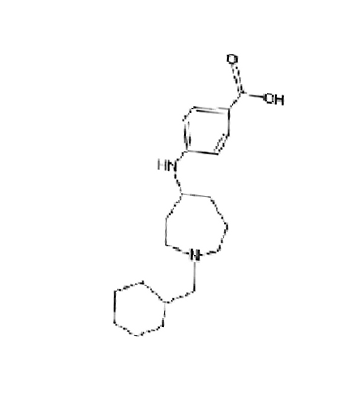 O=C(O)c1ccc(NC2CCCN(CC3CCCCC3)CC2)cc1